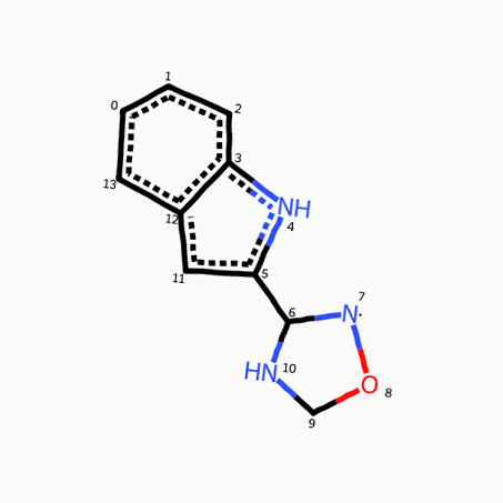 c1ccc2[nH]c(C3[N]OCN3)cc2c1